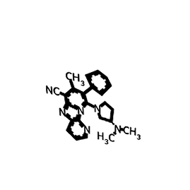 Cc1c(-c2ccccc2)c(N2CC[C@H](N(C)C)C2)n2c(nc3cccnc32)c1C#N